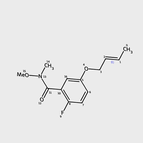 C/C=C/COc1ccc(F)c(C(=O)N(C)OC)c1